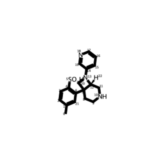 Cc1ccc(S(=O)(=O)O)c(C23CCNC[C@H]2N(c2cccnc2)C3)c1